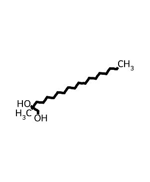 CCCCCCCCCCCCCCCCCC(C)(O)CO